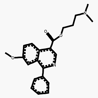 COc1ccc2c(C(=O)OCCCN(C)C)cnc(-c3ccccc3)c2c1